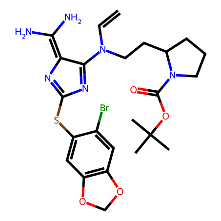 C=CN(CCC1CCCN1C(=O)OC(C)(C)C)C1=NC(Sc2cc3c(cc2Br)OCO3)=NC1=C(N)N